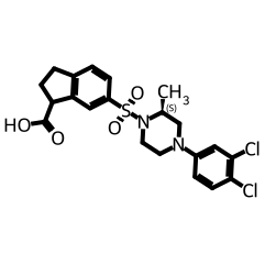 C[C@H]1CN(c2ccc(Cl)c(Cl)c2)CCN1S(=O)(=O)c1ccc2c(c1)C(C(=O)O)CC2